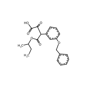 CCC(C)OC(=O)C(C(=O)C(=O)O)c1cccc(OCc2ccccc2)c1